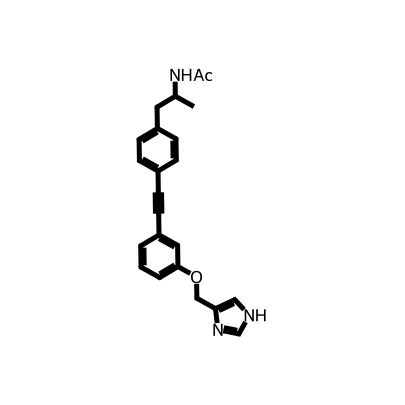 CC(=O)NC(C)Cc1ccc(C#Cc2cccc(OCc3c[nH]cn3)c2)cc1